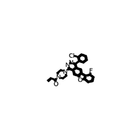 C=CC(=O)N1CCN(c2nnc(-c3ccccc3Cl)c3cc4c(cc23)oc2cccc(F)c24)CC1